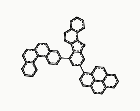 c1ccc2c(c1)ccc1c2oc2cc(-c3ccc4ccc5cccc6ccc3c4c56)cc(-c3ccc4c(ccc5ccc6ccccc6c54)c3)c21